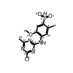 COc1cc([SH](=O)=O)c(C)cc1Nc1nc(C)nc(Cl)n1